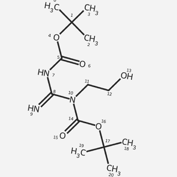 CC(C)(C)OC(=O)NC(=N)N(CCO)C(=O)OC(C)(C)C